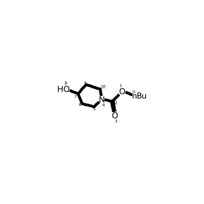 CCCCOC(=O)N1CCC(O)CC1